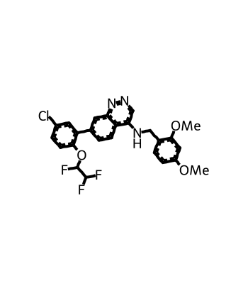 COc1ccc(CNc2cnnc3cc(-c4cc(Cl)ccc4OC(F)C(F)F)ccc23)c(OC)c1